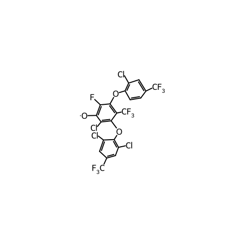 [O]c1c(F)c(Oc2ccc(C(F)(F)F)cc2Cl)c(C(F)(F)F)c(Oc2c(Cl)cc(C(F)(F)F)cc2Cl)c1Cl